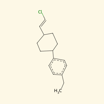 CCc1ccc(C2CCC(/C=C/Cl)CC2)cc1